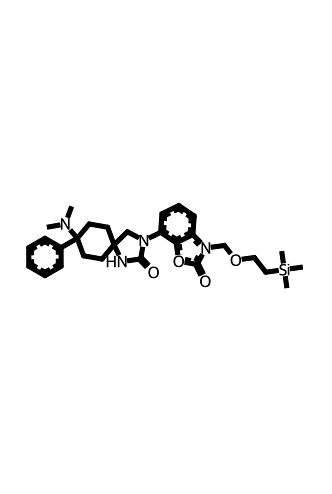 CN(C)C1(c2ccccc2)CCC2(CC1)CN(c1cccc3c1oc(=O)n3COCC[Si](C)(C)C)C(=O)N2